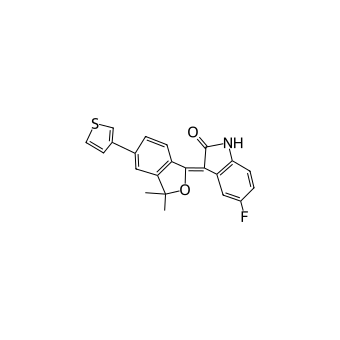 CC1(C)OC(=C2C(=O)Nc3ccc(F)cc32)c2ccc(-c3ccsc3)cc21